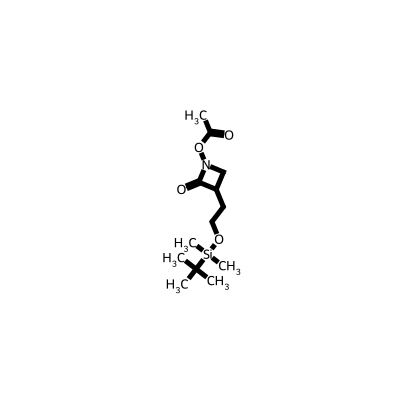 CC(=O)ON1CC(CCO[Si](C)(C)C(C)(C)C)C1=O